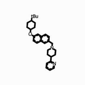 CC(C)(C)C1CCC(Oc2ccc3cc(CN4CCC(c5ccccn5)CC4)ccc3c2)CC1